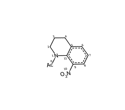 CC(=O)N1CCCc2cccc([N+](=O)[O-])c21